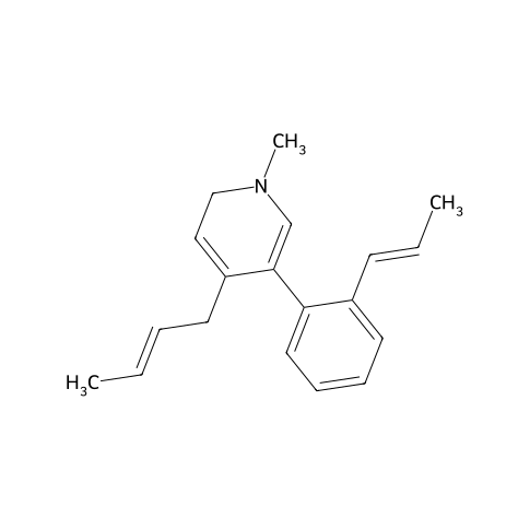 CC=CCC1=CCN(C)C=C1c1ccccc1C=CC